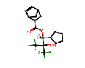 CC(OC(=O)C1CC2C=CC1C2)(C1CCCC1)C(O)(C(F)(F)F)C(F)(F)F